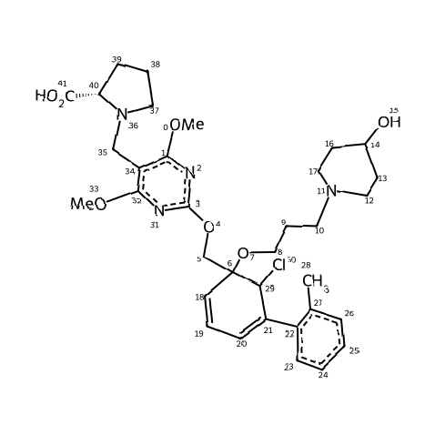 COc1nc(OCC2(OCCCN3CCC(O)CC3)C=CC=C(c3ccccc3C)C2Cl)nc(OC)c1CN1CCC[C@H]1C(=O)O